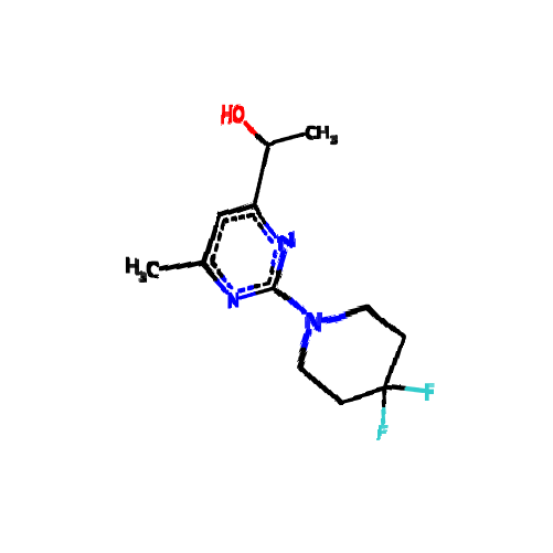 Cc1cc(C(C)O)nc(N2CCC(F)(F)CC2)n1